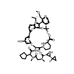 CCn1c(-c2cccnc2[C@H](C)OC)c2c3cc(ccc31)-c1cc(O)cc(c1)C[C@H](NC(=O)C(C1CCCC1)N(C)C(=O)CN(C)C(=O)[C@H]1N[C@H]1C1(F)CC1)C(=O)N1CCC[C@H](N1)C(=O)OCC(C)(C)C2